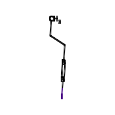 CCCB=BI